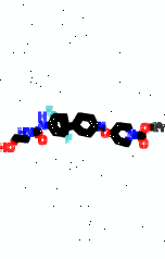 CC(C)OC(=O)N1CCC(ON=C2CCC(c3cc(F)c(NC(=O)NCCO)cc3F)CC2)CC1